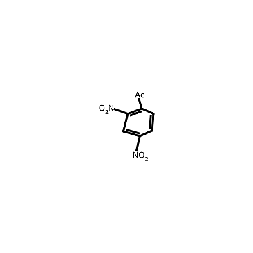 [CH2]C(=O)c1ccc([N+](=O)[O-])cc1[N+](=O)[O-]